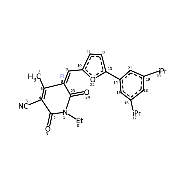 CCN1C(=O)C(C#N)=C(C)/C(=C/c2ccc(-c3cc(C(C)C)cc(C(C)C)c3)o2)C1=O